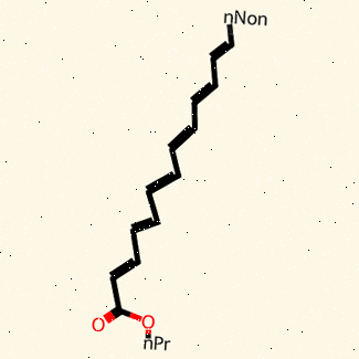 CCCCCCCCCC=CC=CC=CC=CC=CC=CC(=O)OCCC